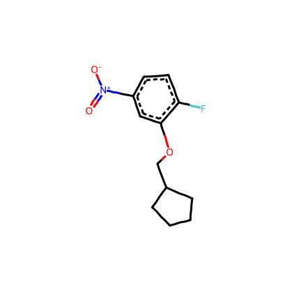 O=[N+]([O-])c1ccc(F)c(OCC2CCCC2)c1